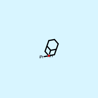 CC(C)NC1C2CCCC1CCC2